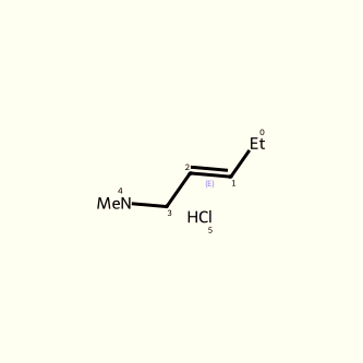 CC/C=C/CNC.Cl